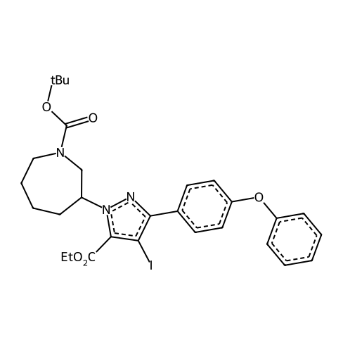 CCOC(=O)c1c(I)c(-c2ccc(Oc3ccccc3)cc2)nn1C1CCCCN(C(=O)OC(C)(C)C)C1